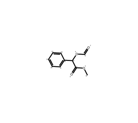 COC(=O)C(O[C]=O)c1ccccc1